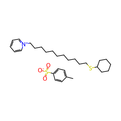 Cc1ccc(S(=O)(=O)[O-])cc1.c1cc[n+](CCCCCCCCCCCSC2CCCCC2)cc1